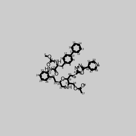 COC(=O)N[C@@H](Cc1ccc(-c2ccccc2)cc1)C(=O)Nc1ccccc1CC[C@@H]1CNC(COC(C)=O)C(CSc2nnc(-c3ccncc3)o2)O1